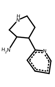 NC1CNCCC1c1ccccn1